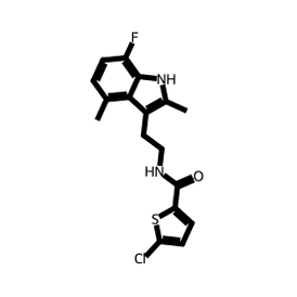 Cc1[nH]c2c(F)ccc(C)c2c1CCNC(=O)c1ccc(Cl)s1